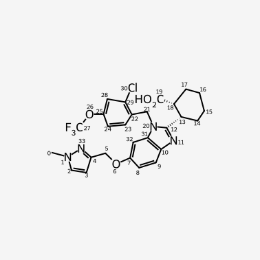 Cn1ccc(COc2ccc3nc([C@H]4CCCC[C@H]4C(=O)O)n(Cc4ccc(OC(F)(F)F)cc4Cl)c3c2)n1